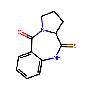 O=C1c2ccccc2NC(=S)C2CCCN12